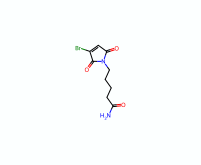 NC(=O)CCCCN1C(=O)C=C(Br)C1=O